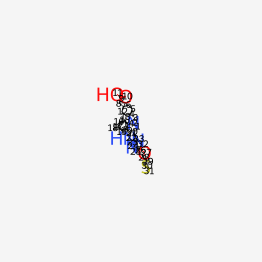 CCN(C[C@H]1CC[C@H](CC(=O)O)CC1)c1ccc(C)cc1CNc1ncc(OCCSC)cn1